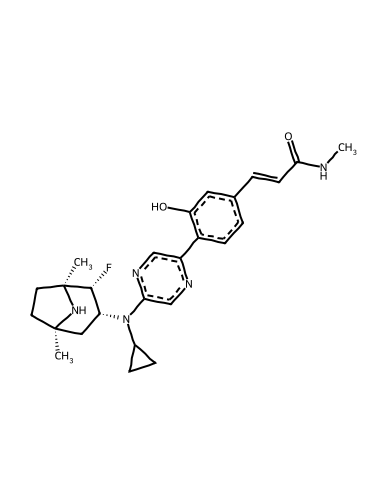 CNC(=O)/C=C/c1ccc(-c2cnc(N(C3CC3)[C@@H]3C[C@@]4(C)CC[C@](C)(N4)[C@@H]3F)cn2)c(O)c1